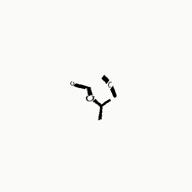 C=C=C.CC(C)OC=O